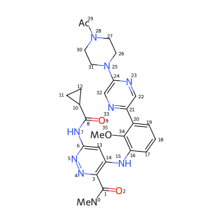 CNC(=O)c1nnc(NC(=O)C2CC2)cc1Nc1cccc(-c2cnc(N3CCN(C(C)=O)CC3)cn2)c1OC